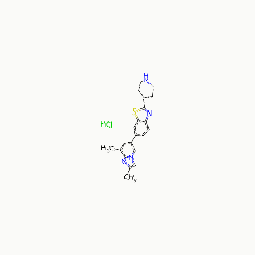 Cc1cn2cc(-c3ccc4nc(C5CCNCC5)sc4c3)cc(C)c2n1.Cl